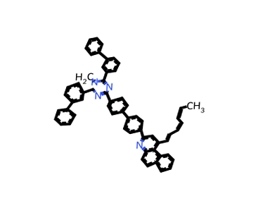 C=N/C(=N\C(=N/Cc1cccc(-c2ccccc2)c1)c1ccc(-c2ccc(-c3cc(/C=C/C=C\C=C/C)c4c(ccc5ccccc54)n3)cc2)cc1)c1cccc(-c2ccccc2)c1